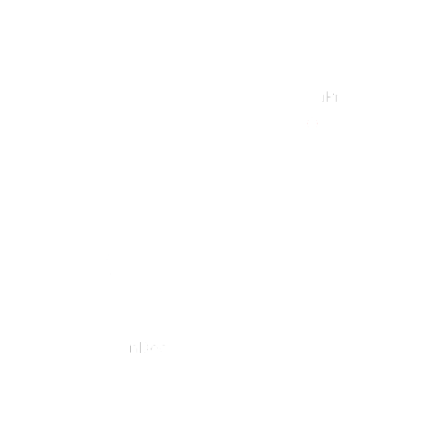 CCCCCCCCCCCC/C=C\CCCCCCCCOC(C)C